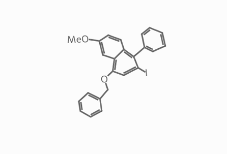 COc1ccc2c(-c3ccccc3)c(I)cc(OCc3ccccc3)c2c1